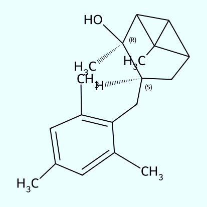 Cc1cc(C)c(C[C@@H]2CC3C4C(C34C)[C@]2(C)O)c(C)c1